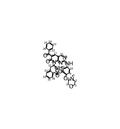 CN1CCOCC1Oc1ccc(Nc2ncc3cc(C(=O)c4ccccc4)c(=O)n(C4Cc5ccccc5S(=O)(=O)N4)c3n2)cc1